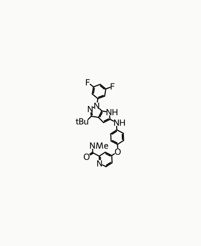 CNC(=O)c1cc(Oc2ccc(Nc3cc4c(C(C)(C)C)nn(-c5cc(F)cc(F)c5)c4[nH]3)cc2)ccn1